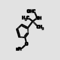 CCCOc1cccc(C(C)(C)NC=O)c1